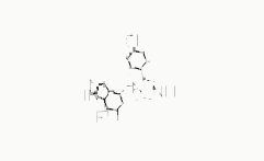 Fc1cc(CN2CCNCC2c2ccc(Cl)cc2)c2cn[nH]c2c1F